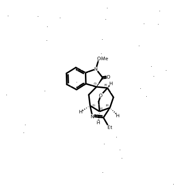 CCC1=N[C@H]2C[C@@]3(C(=O)N(OC)c4ccccc43)[C@H]3C[C@@H]1[C@@H]2CO3